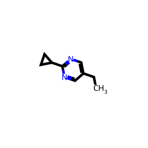 CCc1cnc(C2CC2)nc1